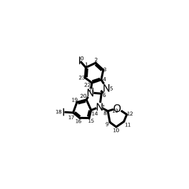 Ic1ccc2nc3n(C4CCCCO4)c4ccc(I)cc4n3c2c1